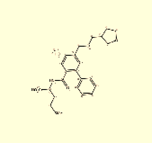 CSCC[C@H](NC(=O)c1ccc(COCC2CCOC2)cc1-c1ccccc1)C(=O)O.[Na+].[OH-]